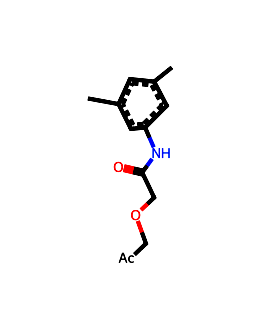 CC(=O)COCC(=O)Nc1cc(C)cc(C)c1